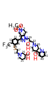 CS(=O)(=O)N1CCc2c(c(-c3ccc(C(F)(F)F)c(SCCN4CCCC(O)C4)c3)nn2CC(O)CN2CCC(O)(c3ccccn3)CC2)C1